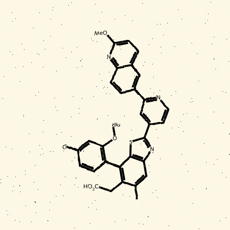 COc1ccc2cc(-c3cc(-c4nc5cc(C)c(CC(=O)O)c(-c6ccc(Cl)cc6OC(C)(C)C)c5s4)ccn3)ccc2n1